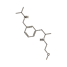 COCCNC(C)Cc1cccc(CNC(C)C)c1